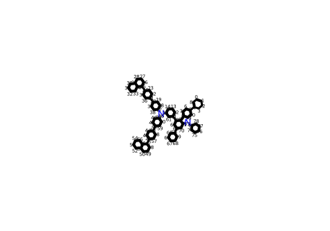 C1=CCCC(c2ccc3c4c(-c5cccc(N(c6ccc(-c7ccc(-c8cccc9ccccc89)cc7)cc6)c6ccc(-c7ccc(-c8cccc9ccccc89)cc7)cc6)c5)cc(-c5ccccc5)cc4n(-c4ccccc4)c3c2)=C1